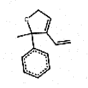 C=CC1=CCOC1(C)c1ccccc1